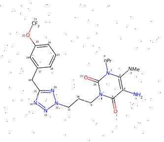 CCCn1c(NC)c(N)c(=O)n(CCCn2nnc(Cc3cccc(OC(F)(F)F)c3)n2)c1=O